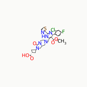 COC(=O)C1=C(CN2CCN3C(=O)N([C@H]4C[C@@H](C(=O)O)C4)CC3C2)NC(c2nccs2)=N[C@H]1c1ccc(F)cc1Cl